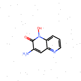 Nc1cc2ncccc2n(O)c1=O